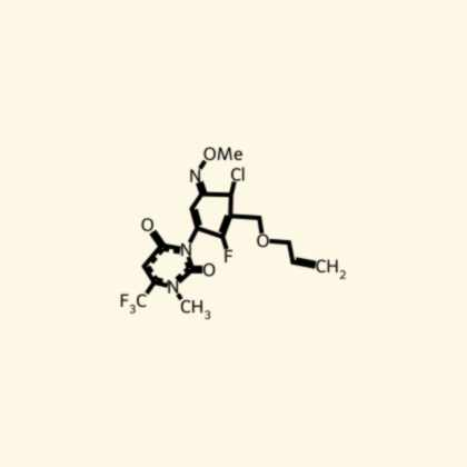 C=CCOCC1=C(F)C(n2c(=O)cc(C(F)(F)F)n(C)c2=O)=CC(=NOC)C1Cl